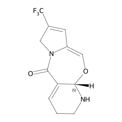 O=C1C2=CCCN[C@H]2OC=C2C=C(C(F)(F)F)CN12